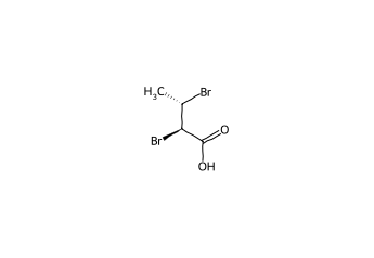 C[C@H](Br)[C@H](Br)C(=O)O